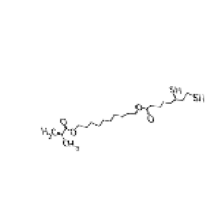 C=C(C)C(=O)OCCCCCCCCCCOC(=O)CCCCC(S)CCS